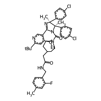 CCOc1cc(C(C)(C)C)ncc1C1=N[C@@](C)(c2ccc(Cl)cc2)[C@@](C)(c2ccc(Cl)cc2)N1C(=O)N1CCC(CC(=O)NCc2ccc(C)cc2F)CC1